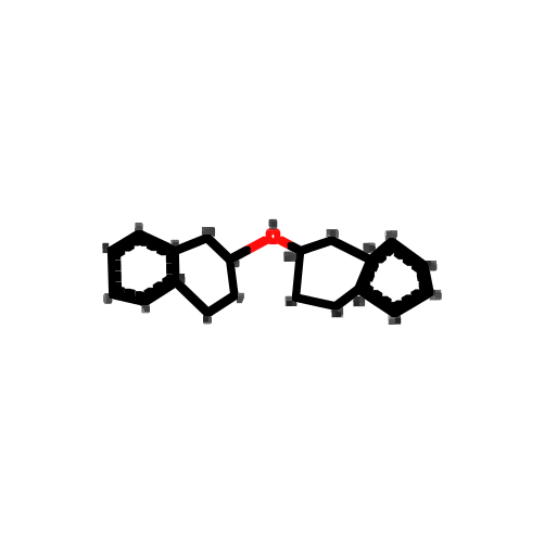 c1ccc2c(c1)CCC(OC1CCc3ccccc3C1)C2